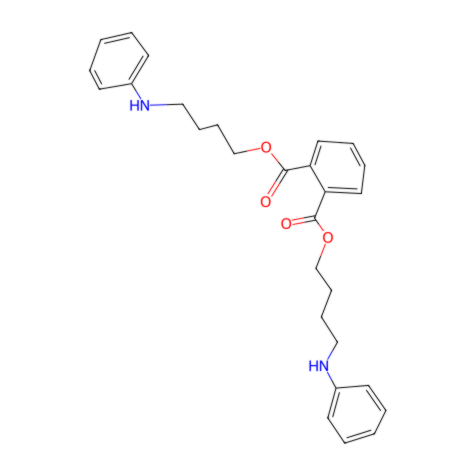 O=C(OCCCCNc1ccccc1)c1ccccc1C(=O)OCCCCNc1ccccc1